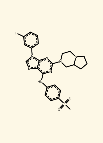 CS(=O)(=O)c1ccc(Nc2nc(N3CCN4CCCC4C3)nc3c2ncn3-c2cccc(F)c2)cc1